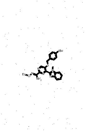 CCO/N=C(\N)c1ncc(SCc2ccc(C(C)(C)C)cc2)c(-c2nc3ccccc3n2C)n1